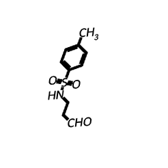 Cc1ccc(S(=O)(=O)NCCC=O)cc1